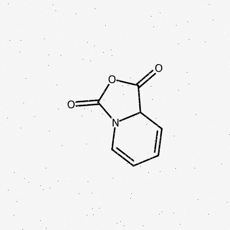 O=C1OC(=O)N2C=CC=CC12